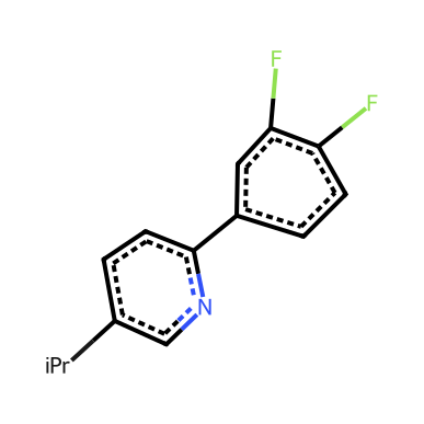 CC(C)c1ccc(-c2ccc(F)c(F)c2)nc1